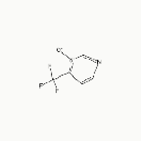 [O-][n+]1cnccc1C(F)(F)F